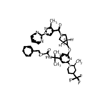 Cc1nn(-c2ncccn2)cc1C(=O)N1C[C@@H]2C(Oc3cc(C(C)(C)NC(=O)OCc4ccccc4)cc(N4CCC(C(F)(F)F)CC4C)n3)[C@@H]2C1